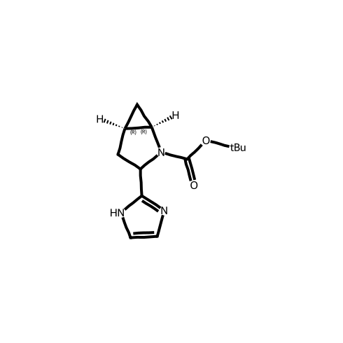 CC(C)(C)OC(=O)N1C(c2ncc[nH]2)C[C@H]2C[C@H]21